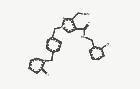 COCc1nn(Cc2ccc(Cn3ccccc3=O)cc2)cc1C(=O)NCc1ccccc1C(F)(F)F